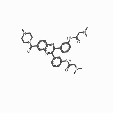 CN(C)CC(=O)Nc1cccc(-c2nc3ccc(C(=O)N4CCN(C)CC4)cc3nc2-c2cccc(NC(=O)CN(C)C)c2)c1